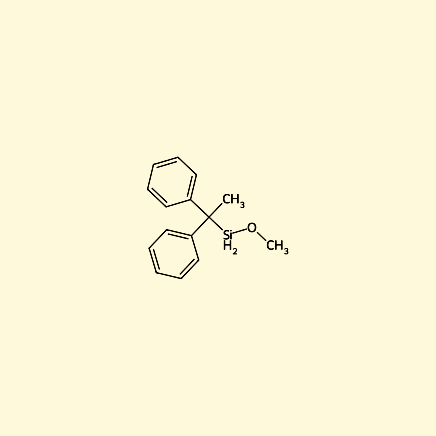 CO[SiH2]C(C)(c1ccccc1)c1ccccc1